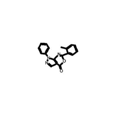 Cc1ccccc1-c1nc2c(cnn2-c2ccccc2)c(=O)o1